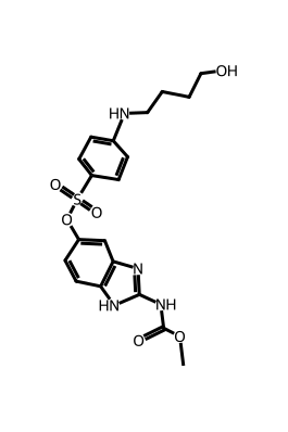 COC(=O)Nc1nc2cc(OS(=O)(=O)c3ccc(NCCCCO)cc3)ccc2[nH]1